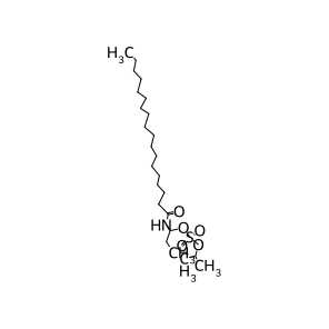 CCCCCCCCCCCCCCCCCC(=O)NC(CC)OS(=O)(=O)OC(C)C